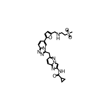 CS(=O)(=O)CCNCc1ccc(-c2ccc3nnc(Cc4ccc5nc(NC(=O)C6CC6)cn5n4)n3c2)o1